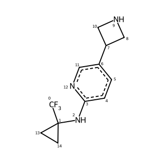 FC(F)(F)C1(Nc2ccc(C3CNC3)cn2)CC1